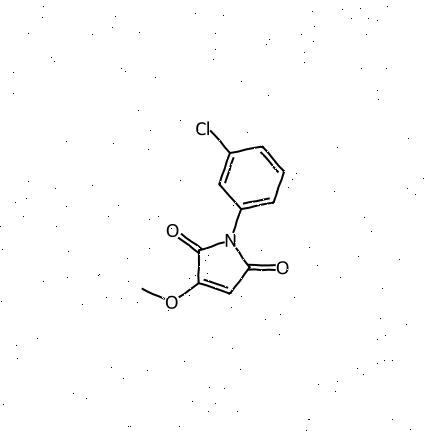 COC1=CC(=O)N(c2cccc(Cl)c2)C1=O